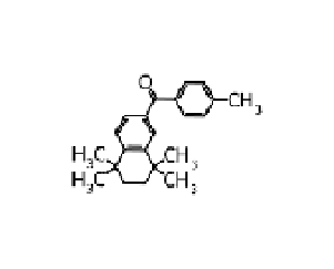 Cc1ccc(C(=O)c2ccc3c(c2)C(C)(C)CCC3(C)C)cc1